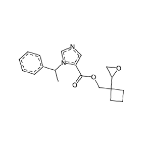 CC(c1ccccc1)n1cncc1C(=O)OCC1(C2CO2)CCC1